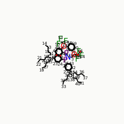 CCCCN(P(c1ccc([Si](CCCC)(CCCC)CCCC)cc1)c1ccc([Si](CCCC)(CCCC)CCCC)cc1)P(c1ccccc1OC(F)(F)F)c1ccccc1OC(F)(F)F